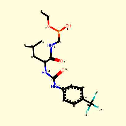 CCOP(O)CNC(=O)C(CC(C)C)NC(=O)Nc1ccc(C(F)(F)F)cc1